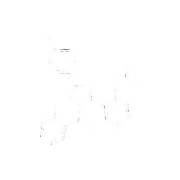 O=C(c1ccccc1O)N1N=C(c2ccc(Cl)cc2)SC1c1ccccc1OC(F)F